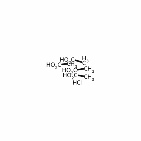 CC(=O)O.CC(=O)O.CC(=O)O.CC(=O)O.Cl